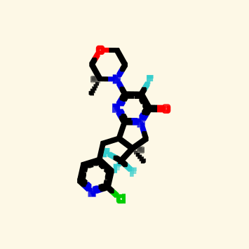 C[C@@H]1COCCN1c1nc2n(c(=O)c1F)C[C@@](C)(C(F)(F)F)C2Cc1ccnc(Cl)c1